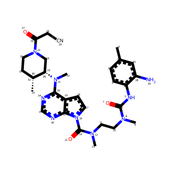 Cc1ccc(NC(=O)N(C)CCN(C)C(=O)n2ccc3c(N(C)[C@H]4CN(C(=O)CC#N)CC[C@H]4C)ncnc32)c(N)c1